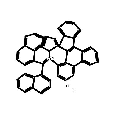 C1=C[CH]([Zr+2](=[C](c2cccc3ccccc23)c2cccc3ccccc23)[c]2cccc3c2c2c(c4ccccc43)-c3ccccc3C2)C=C1.[Cl-].[Cl-]